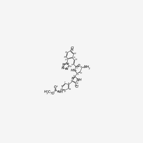 COC(=O)Nc1ccc(-c2nc([C@H](CCN)NC(=O)/C=C/c3cc(Cl)ccc3-n3cnnn3)[nH]c2Cl)cc1